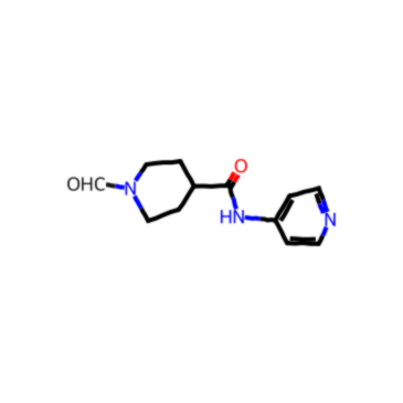 O=CN1CCC(C(=O)Nc2ccncc2)CC1